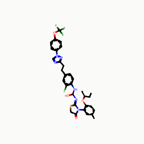 CCC(C)Oc1ccc(C)cc1N1C(=O)CS/C1=N\C(O)Nc1ccc(CCc2ncn(-c3ccc(OC(F)(F)F)cc3)n2)cc1F